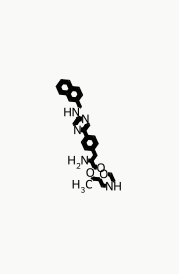 CC(OC(=O)C(N)Cc1ccc(-c2cnc(NCc3ccc4ccccc4c3)cn2)cc1)C1CNCCO1